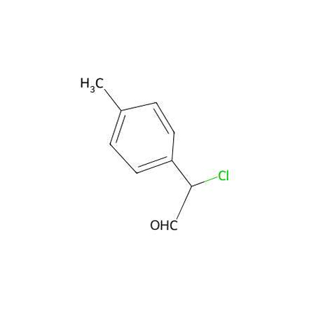 Cc1ccc(C(Cl)C=O)cc1